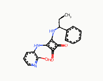 CCC(Nc1c(Nc2cccnc2O)c(=O)c1=O)c1ccccc1